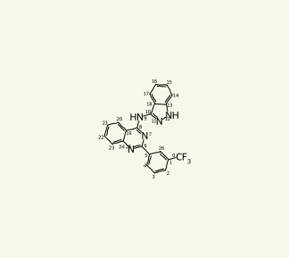 FC(F)(F)c1cccc(-c2nc(Nc3n[nH]c4ccccc34)c3ccccc3n2)c1